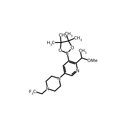 COC(C)c1ncc(N2CCN(CC(F)(F)F)CC2)cc1B1OC(C)(C)C(C)(C)O1